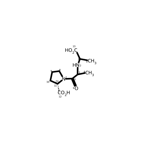 CC(NC(C)C(=O)N1CCC[C@H]1C(=O)O)C(=O)O